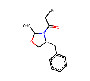 CC(C)CC(=O)N1C(C=O)OC[C@H]1Cc1ccccc1